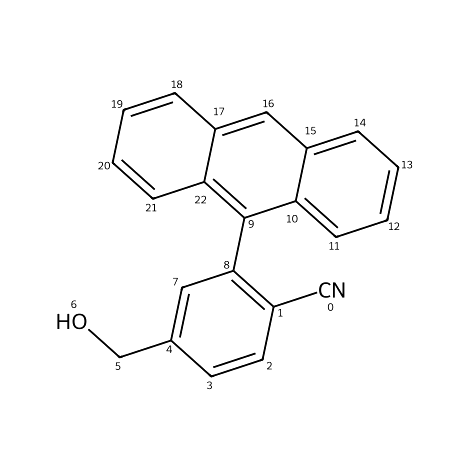 N#Cc1ccc(CO)cc1-c1c2ccccc2cc2ccccc12